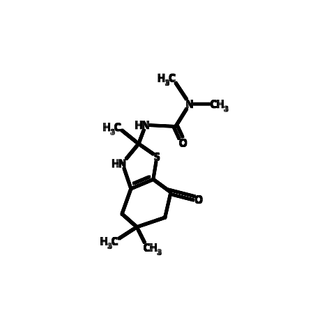 CN(C)C(=O)NC1(C)NC2=C(S1)C(=O)CC(C)(C)C2